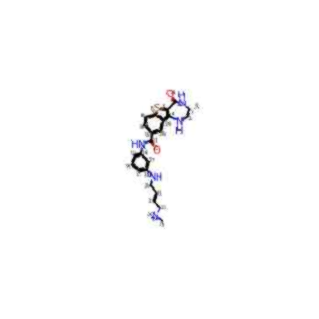 C[C@@H]1CNc2c(sc3ccc(C(=O)Nc4cccc(NC/C=C/CN(C)C)c4)cc23)C(=O)N1